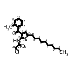 CCCCCCCCCCc1cc(C(=O)c2ccccc2C)c(NC(=O)CCl)s1